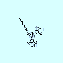 CCCCCCCCSCCSc1nc(-c2cc(C(C)(C)C)c(O)c(C(C)(C)C)c2)nc(-c2cc(C(C)(C)C)c(O)c(C(C)(C)C)c2)n1